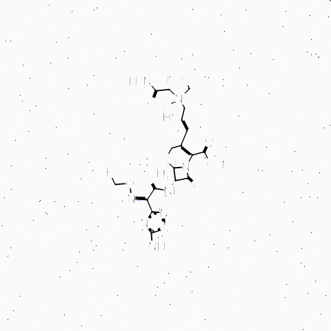 CC[N+](C)(C/C=C/C1=C(C(=O)O)N2C(=O)[C@@H](NC(=O)/C(=N\OCF)c3nsc(N)n3)[C@H]2SC1)CC(N)=O